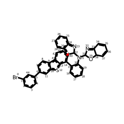 Brc1cccc(-c2ccc3c(c2)sc2c(-c4ccccc4N(C4N=c5ccccc5=N4)C4N=C5C=CC=CC5O4)cccc23)c1